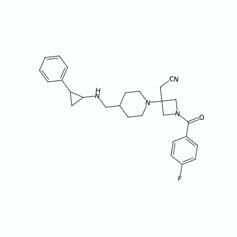 N#CCC1(N2CCC(CNC3CC3c3ccccc3)CC2)CN(C(=O)c2ccc(F)cc2)C1